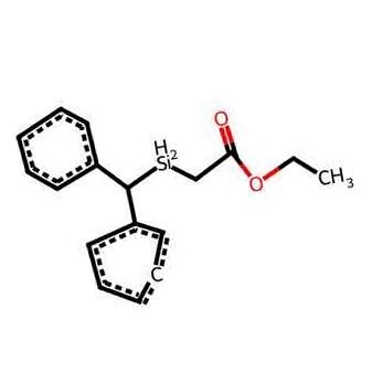 CCOC(=O)C[SiH2]C(c1ccccc1)c1ccccc1